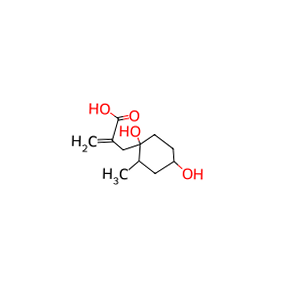 C=C(CC1(O)CCC(O)CC1C)C(=O)O